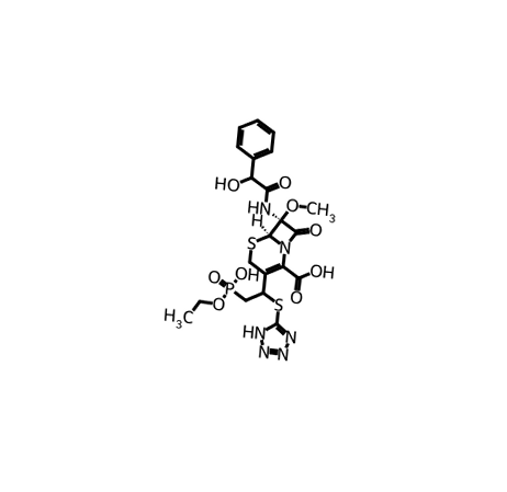 CCOP(=O)(O)CC(Sc1nnn[nH]1)C1=C(C(=O)O)N2C(=O)[C@](NC(=O)C(O)c3ccccc3)(OC)[C@@H]2SC1